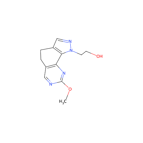 COc1ncc2c(n1)-c1c(cnn1CCO)CC2